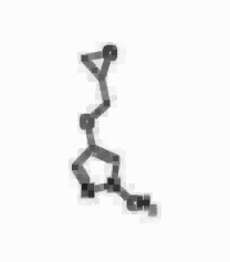 Cn1cc(OCC2CO2)cn1